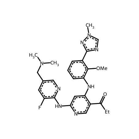 CCC(=O)c1cnc(Nc2ncc(CN(C)C)cc2F)cc1Nc1cccc(-c2ncn(C)n2)c1OC